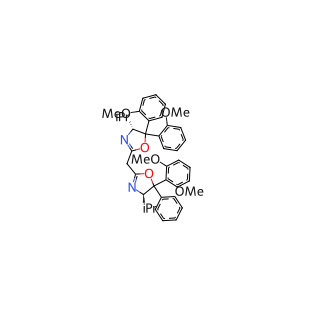 COc1ccccc1C1(c2ccccc2OC)OC(CC2=N[C@H](C(C)C)C(c3ccccc3OC)(c3ccccc3OC)O2)=N[C@@H]1C(C)C